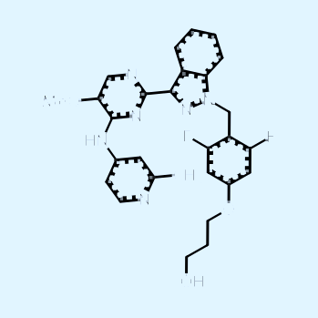 COc1cnc(-c2nn(Cc3c(F)cc(OCCCO)cc3F)c3ccccc23)nc1Nc1ccnc(C)c1